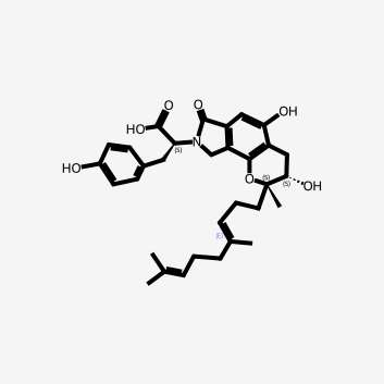 CC(C)=CCC/C(C)=C/CC[C@]1(C)Oc2c(c(O)cc3c2CN([C@@H](Cc2ccc(O)cc2)C(=O)O)C3=O)C[C@@H]1O